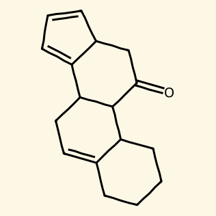 O=C1CC2C=CC=C2C2CC=C3CCCCC3C12